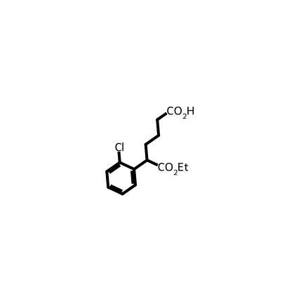 CCOC(=O)C(CCCC(=O)O)c1ccccc1Cl